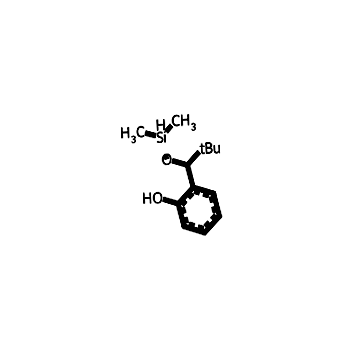 C[SiH](C)OC(c1ccccc1O)C(C)(C)C